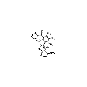 COc1cccc(Cl)c1C(=O)[PH](=O)c1c(C)c(C)c(C)c(C(=O)c2ccccc2)c1C